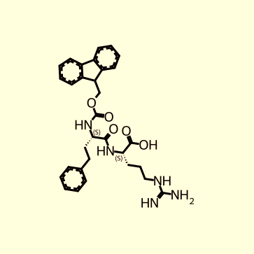 N=C(N)NCCC[C@H](NC(=O)[C@H](CCc1ccccc1)NC(=O)OCC1c2ccccc2-c2ccccc21)C(=O)O